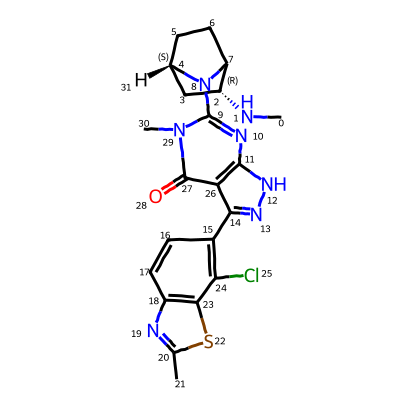 CN[C@@H]1C[C@@H]2CCC1N2c1nc2[nH]nc(-c3ccc4nc(C)sc4c3Cl)c2c(=O)n1C